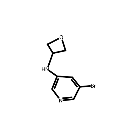 Brc1cncc(NC2COC2)c1